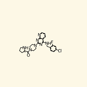 O=C([C@H]1CCCN1)N1CCN(c2nc(NCc3ccc(Cl)cc3F)c3cccnc3n2)CC1